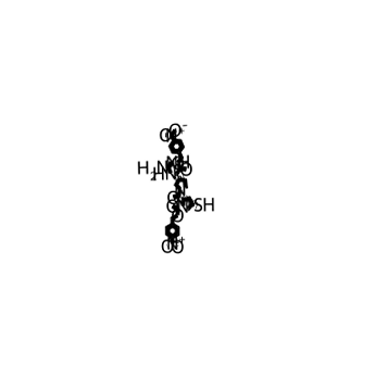 N=C(N)NC(C(=O)OCc1ccc([N+](=O)[O-])cc1)[C@@H]1CCN(C(=O)[C@@H]2C[C@H](S)CN2C(=O)OCc2ccc([N+](=O)[O-])cc2)C1